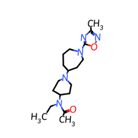 CCN(C(C)=O)C1CCN(C2CCCN(c3nc(C)no3)CC2)CC1